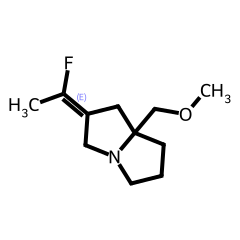 COCC12CCCN1C/C(=C(\C)F)C2